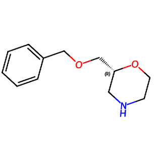 c1ccc(COC[C@H]2CNCCO2)cc1